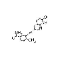 Cc1ccc(C(N)=O)cc1C#Cc1cnc2[nH]c(=O)ccc2c1